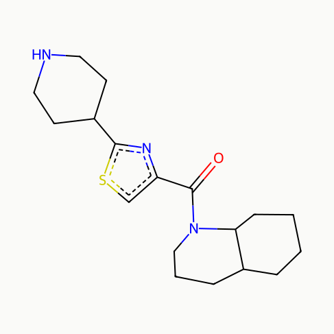 O=C(c1csc(C2CCNCC2)n1)N1CCCC2CCCCC21